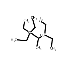 CC[SiH](CC)C(C)[Si](CC)(CC)CC